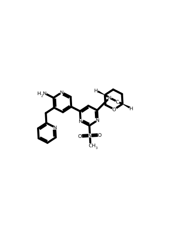 CS(=O)(=O)c1nc(-c2cnc(N)c(Cc3ccccn3)c2)cc(N2C[C@@H]3CC[C@H]2CO3)n1